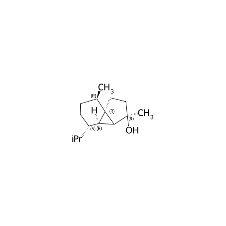 CC(C)[C@@H]1CC[C@@H](C)[C@@]23CC[C@@](C)(O)C2[C@@H]13